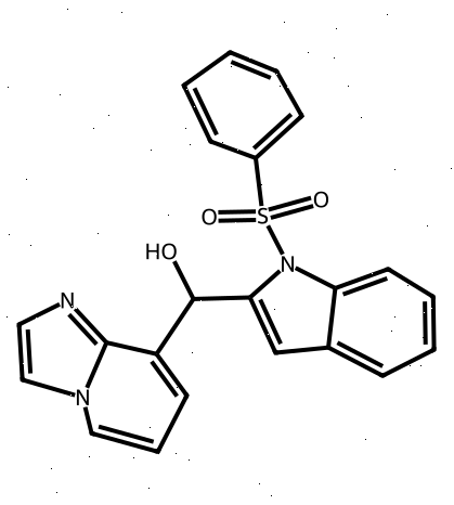 O=S(=O)(c1ccccc1)n1c(C(O)c2cccn3ccnc23)cc2ccccc21